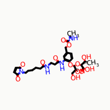 CNC(=O)OCc1ccc(OC(OC(C(=O)O)[C@H](C)O)[C@@H](O)CO)c(NC(=O)CCNC(=O)CCCCCN2C(=O)C=CC2=O)c1